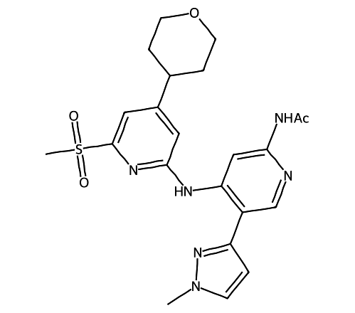 CC(=O)Nc1cc(Nc2cc(C3CCOCC3)cc(S(C)(=O)=O)n2)c(-c2ccn(C)n2)cn1